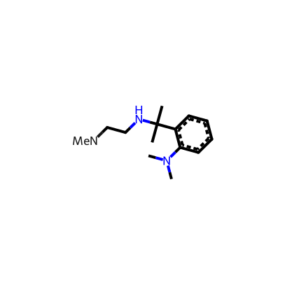 CNCCNC(C)(C)c1ccccc1N(C)C